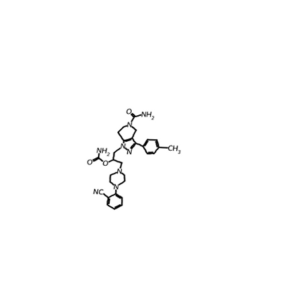 Cc1ccc(-c2nn(CC(CN3CCN(c4ccccc4C#N)CC3)OC(N)=O)c3c2CN(C(N)=O)CC3)cc1